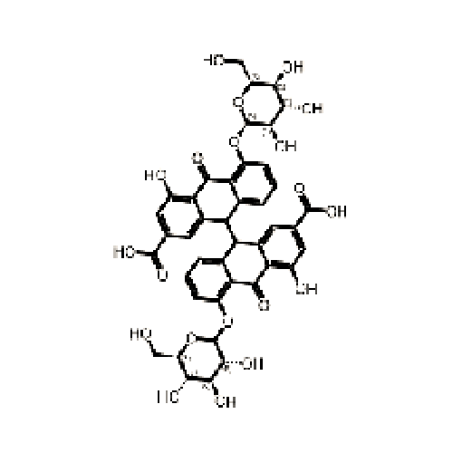 O=C(O)c1cc(O)c2c(c1)C(C1c3cc(C(=O)O)cc(O)c3C(=O)c3c(O[C@H]4O[C@@H](CO)[C@@H](O)[C@H](O)[C@H]4O)cccc31)c1cccc(OC3O[C@H](CO)[C@@H](O)[C@H](O)[C@H]3O)c1C2=O